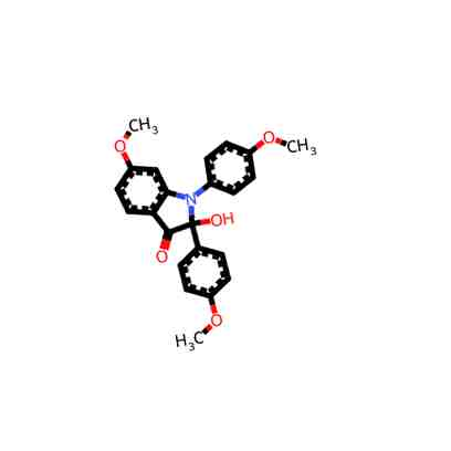 COc1ccc(N2c3cc(OC)ccc3C(=O)C2(O)c2ccc(OC)cc2)cc1